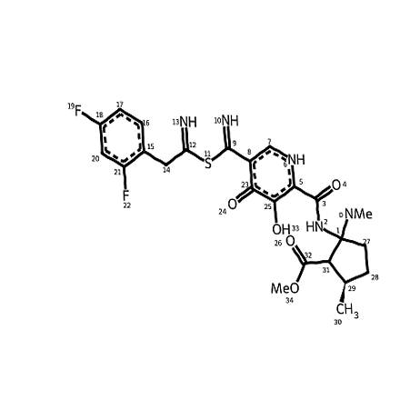 CNC1(NC(=O)c2[nH]cc(C(=N)SC(=N)Cc3ccc(F)cc3F)c(=O)c2O)CC[C@@H](C)C1C(=O)OC